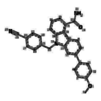 COc1ccc(-c2c[c]c3c4c(C(N)=O)cccc4n(Cc4ccc(C#N)cc4)c3c2)cc1